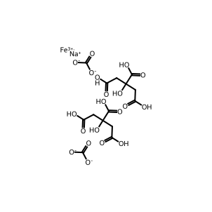 O=C(O)CC(O)(CC(=O)O)C(=O)O.O=C(O)CC(O)(CC(=O)O)C(=O)O.O=C([O-])[O-].O=C([O-])[O-].[Fe+3].[Na+]